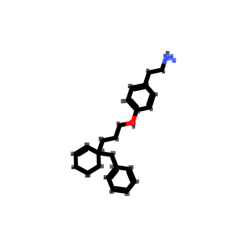 NCCc1ccc(OCCCC2(Cc3ccccc3)C=CCCC2)cc1